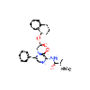 CNC(C)C(=O)Nc1ncc(-c2ccccc2)n(CC(=O)OC2CCCc3ccccc32)c1=O